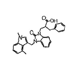 Cc1cccc2c1c(Cn1c(=O)n(CC(Cc3ccccc3)C(=O)O)c3ccccc31)cn2C